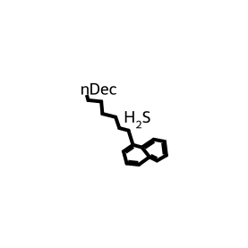 CCCCCCCCCCCCCCCCc1cccc2ccccc12.S